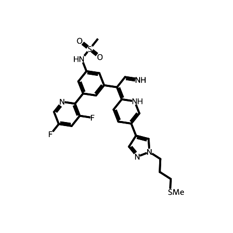 CSCCCn1cc(C2=CN/C(=C(\C=N)c3cc(NS(C)(=O)=O)cc(-c4ncc(F)cc4F)c3)C=C2)cn1